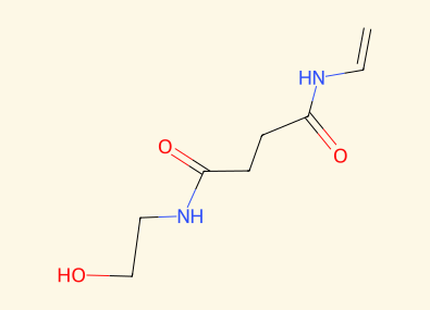 C=CNC(=O)CCC(=O)NCCO